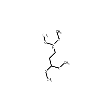 COC(CC[SiH](OC)OC)OC